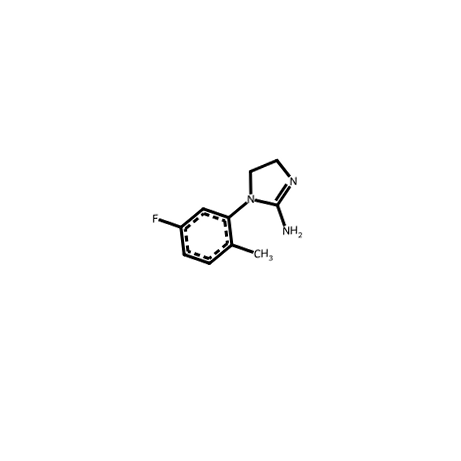 Cc1ccc(F)cc1N1CCN=C1N